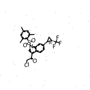 Cc1cc(C)c(S(=O)(=O)n2cc(C(=O)CCl)c3ccc(C4C[C@H]4C(F)(F)F)cc32)c(C)c1